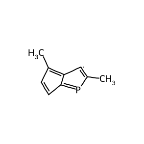 CC1=[C]C2=C(C)C=CC2=P1